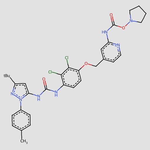 Cc1ccc(-n2nc(C(C)(C)C)cc2NC(=O)Nc2ccc(OCc3ccnc(NC(=O)ON4CCCC4)c3)c(Cl)c2Cl)cc1